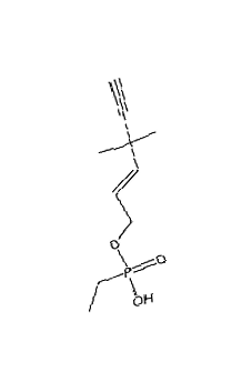 C#CC(C)(C)C=CCOP(=O)(O)CC